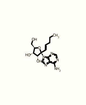 CCCC=C[C@@]1(n2cnc3c(N)ncnc32)O[C@H](CO)[C@@H](O)[C@H]1O